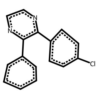 Clc1ccc(-c2nccnc2-c2ccccc2)cc1